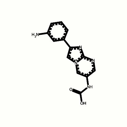 Nc1cccc(-c2cn3cc(NC(=O)O)cnc3n2)c1